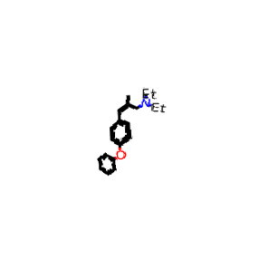 CCN(CC)CC(C)=Cc1ccc(Oc2ccccc2)cc1